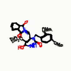 CCOC(=O)C1=C(CN2C(=O)c3ccccc3C2=O)N(Cc2ccc(OC)cc2OC)C(=O)NC1O